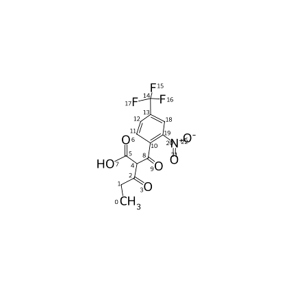 CCC(=O)C(C(=O)O)C(=O)c1ccc(C(F)(F)F)cc1[N+](=O)[O-]